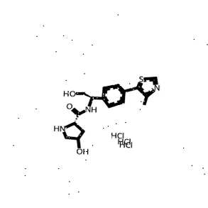 Cc1ncsc1-c1ccc([C@H](CO)NC(=O)[C@@H]2CC(O)CN2)cc1.Cl.Cl.Cl